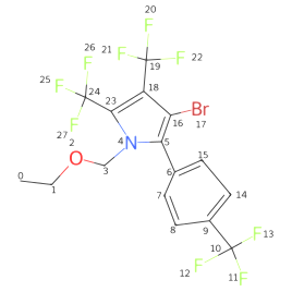 CCOCn1c(-c2ccc(C(F)(F)F)cc2)c(Br)c(C(F)(F)F)c1C(F)(F)F